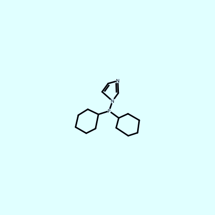 c1cn(P(C2CCCCC2)C2CCCCC2)cn1